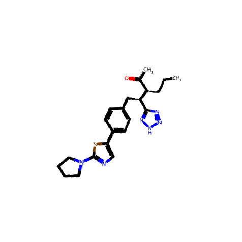 CCC[C@H](C(C)=O)[C@H](Cc1ccc(-c2cnc(N3CCCC3)s2)cc1)c1nn[nH]n1